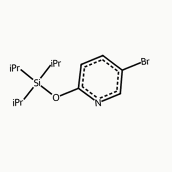 CC(C)[Si](Oc1ccc(Br)cn1)(C(C)C)C(C)C